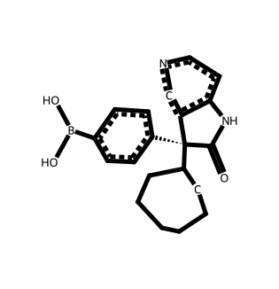 O=C1Nc2ccncc2[C@]1(c1ccc(B(O)O)cc1)C1CCCCCC1